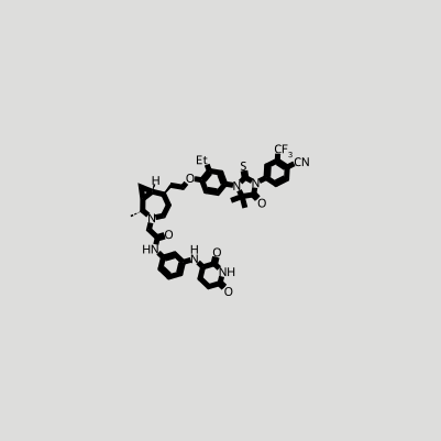 CCc1cc(N2C(=S)N(c3ccc(C#N)c(C(F)(F)F)c3)C(=O)C2(C)C)ccc1OCC[C@H]1CCN(CC(=O)Nc2cccc(NC3CCC(=O)NC3=O)c2)[C@H](C)C2C[C@H]21